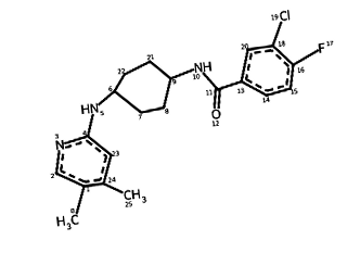 Cc1cnc(NC2CCC(NC(=O)c3ccc(F)c(Cl)c3)CC2)cc1C